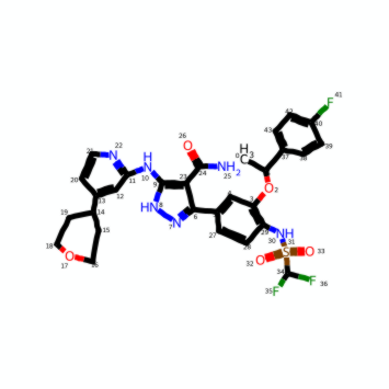 CC(Oc1cc(-c2n[nH]c(Nc3cc(C4CCOCC4)ccn3)c2C(N)=O)ccc1NS(=O)(=O)C(F)F)c1ccc(F)cc1